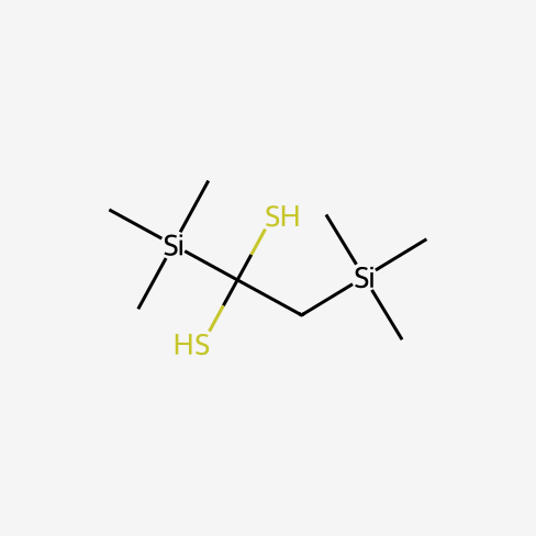 C[Si](C)(C)CC(S)(S)[Si](C)(C)C